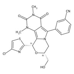 Cn1c(=O)c2c(-c3cccc(C#N)c3)n3c(c2n(C)c1=O)[C@@H](c1nc(Cl)cs1)O[C@@H](CO)C3